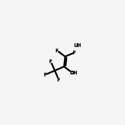 OC(=C(F)F)C(F)(F)F.[LiH]